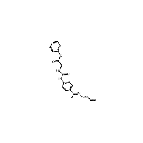 C=CCON=C(C)c1ccc(NC(=O)NCC(=O)Oc2ccccc2)cc1